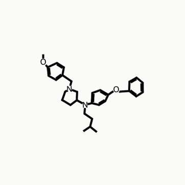 COc1ccc(CN2CCCC(N(CCC(C)C)c3ccc(OCc4ccccc4)cc3)C2)cc1